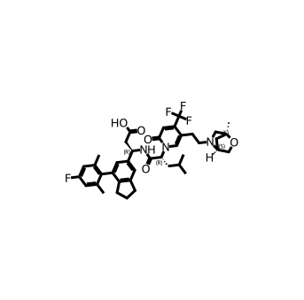 Cc1cc(F)cc(C)c1-c1cc([C@@H](CC(=O)O)NC(=O)[C@@H](CC(C)C)n2cc(CCN3C[C@]4(C)C[C@H]3CO4)c(C(F)(F)F)cc2=O)cc2c1CCC2